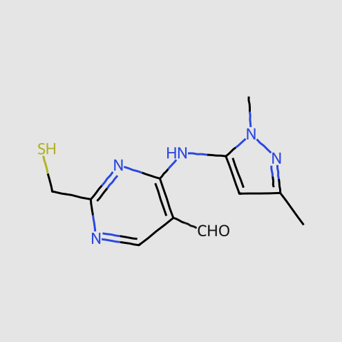 Cc1cc(Nc2nc(CS)ncc2C=O)n(C)n1